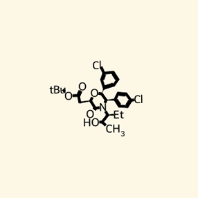 CC[C@@H](C(C)O)N1C(=O)[C@@H](CC(=O)OC(C)(C)C)O[C@H](c2cccc(Cl)c2)[C@H]1c1ccc(Cl)cc1